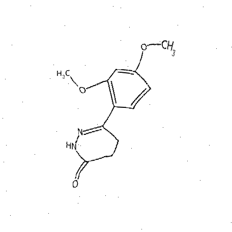 COc1ccc(C2=NNC(=O)CC2)c(OC)c1